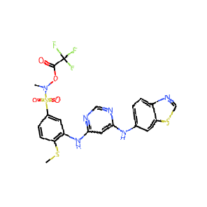 CSc1ccc(S(=O)(=O)N(C)OC(=O)C(F)(F)F)cc1Nc1cc(Nc2ccc3ncsc3c2)ncn1